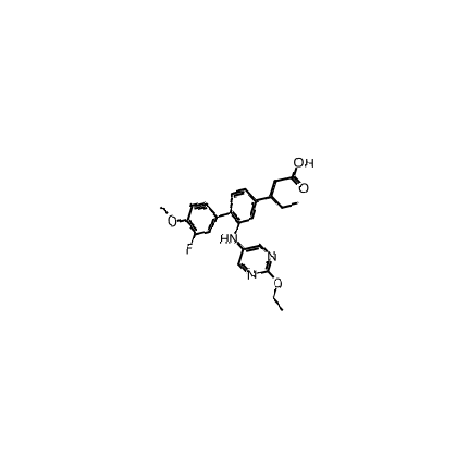 CCOc1ncc(Nc2cc(C(CC)CC(=O)O)ccc2-c2ccc(OC)c(F)c2)cn1